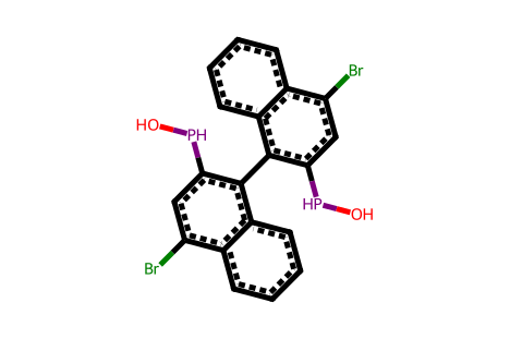 OPc1cc(Br)c2ccccc2c1-c1c(PO)cc(Br)c2ccccc12